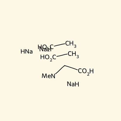 CC(=O)O.CC(=O)O.CNCC(=O)O.[NaH].[NaH].[NaH]